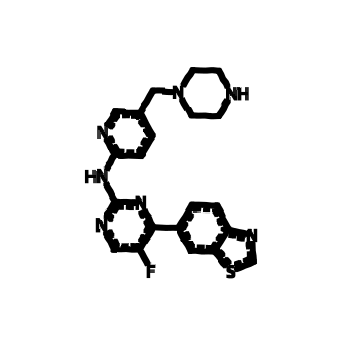 Fc1cnc(Nc2ccc(CN3CCNCC3)cn2)nc1-c1ccc2ncsc2c1